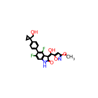 COc1cc(C(O)=C2C(=O)Nc3cc(F)c(-c4ccc(C5(CO)CC5)cc4)c(F)c32)on1